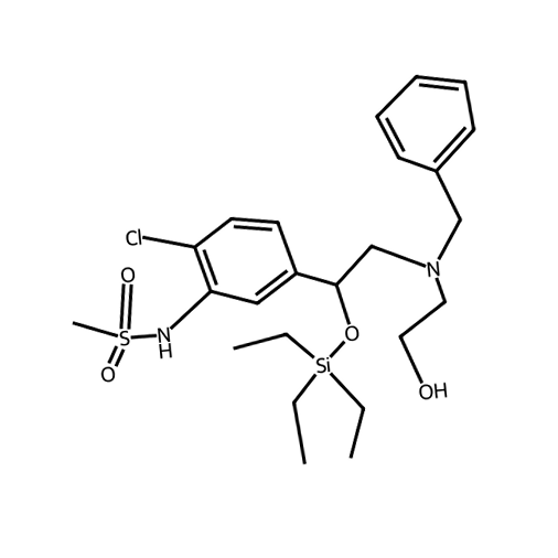 CC[Si](CC)(CC)OC(CN(CCO)Cc1ccccc1)c1ccc(Cl)c(NS(C)(=O)=O)c1